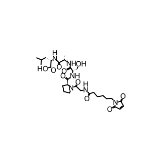 CC(C)C[C@H](NC(=O)[C@H](C)NC(=O)[C@H](CO)NC(=O)[C@@H]1CCCN1C(=O)CNC(=O)CCCCCN1C(=O)C=CC1=O)C(=O)O